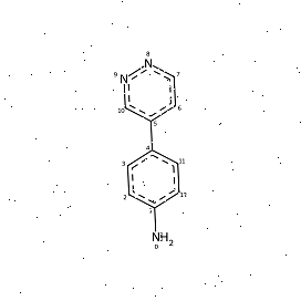 Nc1ccc(-c2ccnnc2)cc1